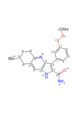 COOSc1cccc(-c2c(C(N)=O)[nH]c3cc4c(nc23)CCC(C(C)(C)C)C4)c1